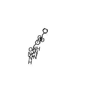 O=C(NCC1CCN(S(=O)(=O)CCc2ccccc2)CC1)c1ncnc2[nH]cnc12